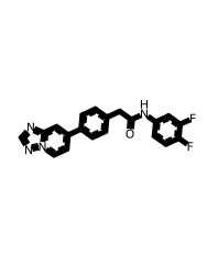 O=C(Cc1ccc(-c2ccn3ncnc3c2)cc1)Nc1ccc(F)c(F)c1